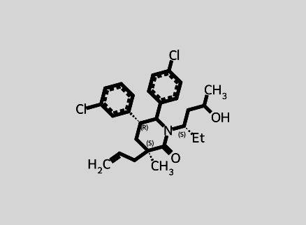 C=CC[C@@]1(C)C[C@H](c2cccc(Cl)c2)C(c2ccc(Cl)cc2)N([C@@H](CC)CC(C)O)C1=O